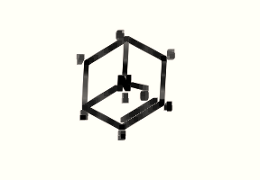 CN1C2C=CCC1C2